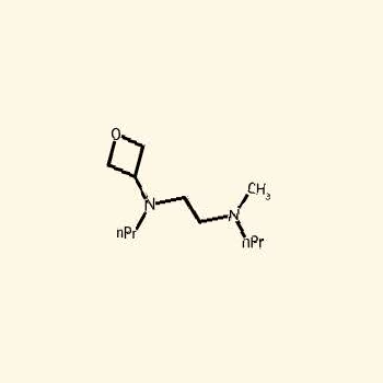 CCCN(C)CCN(CCC)C1COC1